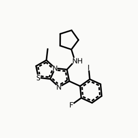 Cc1csc2nc(-c3c(F)cccc3I)c(NC3CCCC3)n12